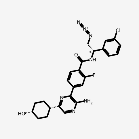 [N-]=[N+]=NC[C@@H](NC(=O)c1ccc(-c2nc([C@H]3CC[C@@H](O)CC3)cnc2N)cc1F)c1cccc(Cl)c1